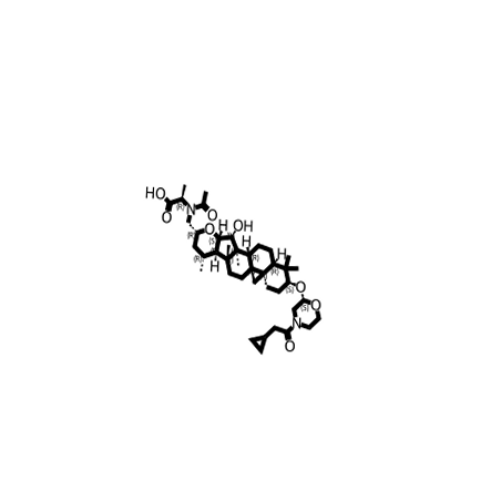 CC(=O)N(C[C@H]1C[C@@H](C)[C@H]2[C@H](O1)[C@H](O)[C@@]1(C)[C@@H]3CC[C@H]4C(C)(C)[C@@H](O[C@H]5CN(C(=O)CC6CC6)CCO5)CC[C@@]45C[C@@]35CC[C@]21C)[C@H](C)C(=O)O